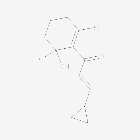 CC1=C(C(=O)/C=C/C2CC2)C(C)(C)CCC1